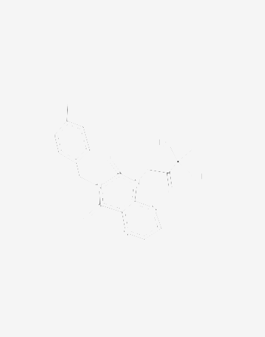 CC(C)(C)C(=O)Cn1c(=O)n(Cc2ccc(Cl)cc2)c(=O)c2nccnc21